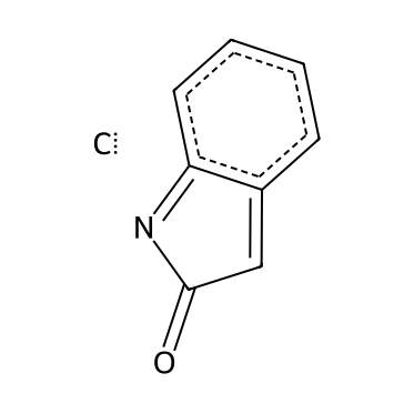 O=C1C=c2ccccc2=N1.[C]